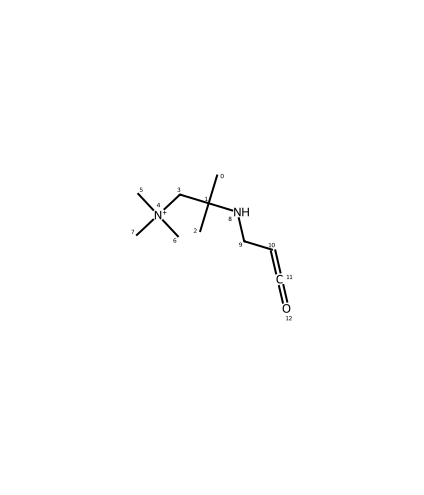 CC(C)(C[N+](C)(C)C)NCC=C=O